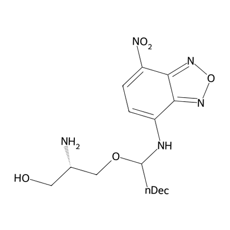 CCCCCCCCCCC(Nc1ccc([N+](=O)[O-])c2nonc12)OC[C@@H](N)CO